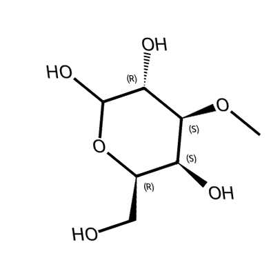 CO[C@H]1[C@@H](O)[C@@H](CO)OC(O)[C@@H]1O